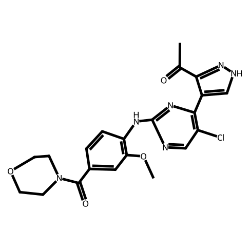 COc1cc(C(=O)N2CCOCC2)ccc1Nc1ncc(Cl)c(-c2c[nH]nc2C(C)=O)n1